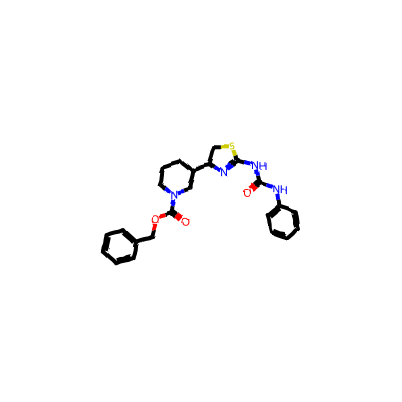 O=C(NC1=NC(C2CCCN(C(=O)OCc3ccccc3)C2)CS1)Nc1ccccc1